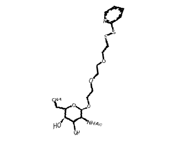 CC(=O)NC1C(O)[C@@H](O)C(CO)O[C@H]1OCCOCCOCCSSc1ccccn1